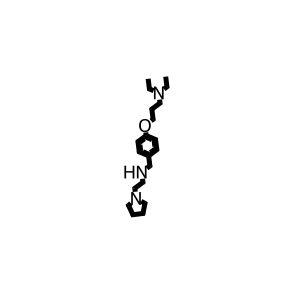 CCN(CC)CCCOc1ccc(CNCCN2CCCC2)cc1